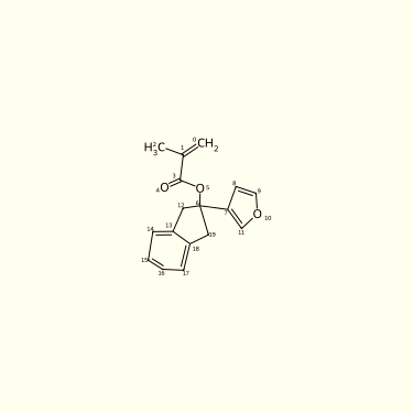 C=C(C)C(=O)OC1(c2ccoc2)Cc2ccccc2C1